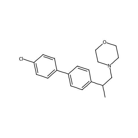 CC(CN1CCOCC1)c1ccc(-c2ccc(Cl)cc2)cc1